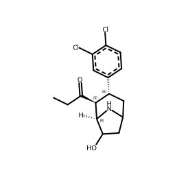 CCC(=O)[C@H]1[C@H](c2ccc(Cl)c(Cl)c2)CC2CC(O)[C@@H]1N2